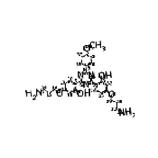 COc1ccc(-c2nc(-c3ccc(OCCCN)cc3O)nc(-c3ccc(OCCCN)cc3O)n2)cc1